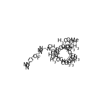 CC[C@H]1OC(=O)[C@H](C)[C@@H](O[C@H]2C[C@@](C)(OC)[C@@H](O)[C@H](C)O2)[C@H](C)[C@@H](O[C@H]2C[C@@H](N(C)CCc3cn([C@H](CF)COCc4ccc(-n5cncn5)cc4)nn3)C[C@@H](C)O2)[C@](C)(O)C[C@@H](C)CN(C)[C@H](C)[C@@H](O)[C@]1(C)O